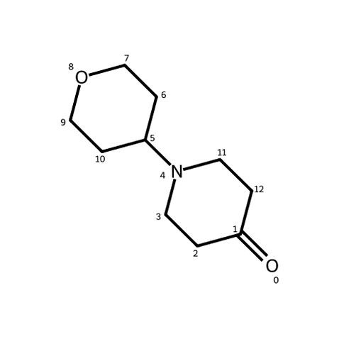 O=C1CCN(C2CCOCC2)CC1